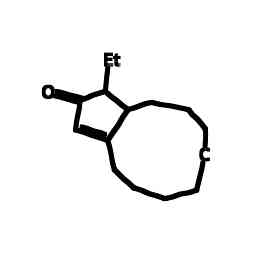 CCC1C(=O)C=C2CCCCCCCCC21